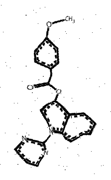 COc1ccc(C(=O)Oc2cn(-c3ncccn3)c3ccccc23)cc1